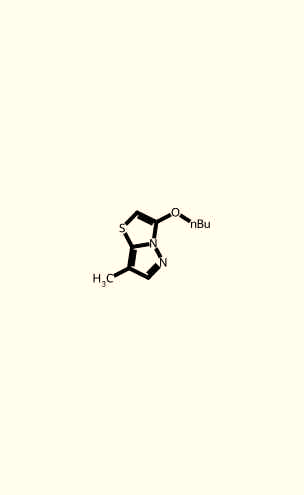 CCCCOc1csc2c(C)cnn12